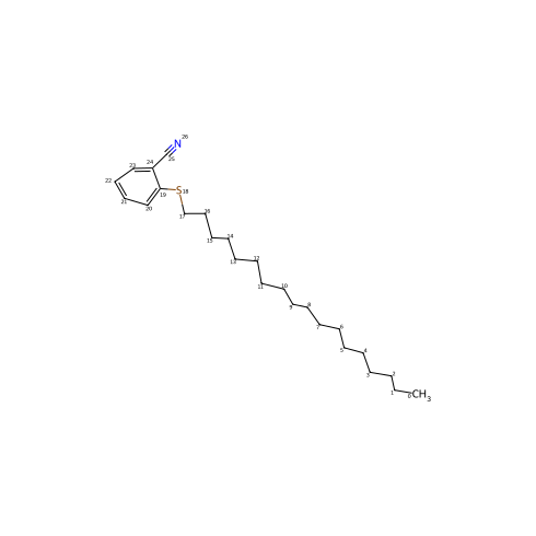 CCCCCCCCCCCCCCCCCCSc1ccccc1C#N